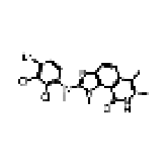 Cc1[nH]c(=O)c2c(ccc3nc(Nc4ccc(Br)c(Cl)c4Cl)n(C)c32)c1C